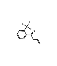 C=CCC(=O)c1ccccc1C(F)(F)F